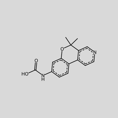 CC1(C)Oc2cc(NC(=O)O)ccc2-c2ccncc21